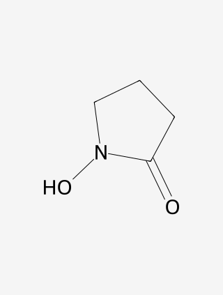 O=C1CCCN1O